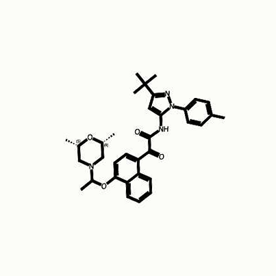 Cc1ccc(-n2nc(C(C)(C)C)cc2NC(=O)C(=O)c2ccc(OC(C)N3C[C@@H](C)O[C@@H](C)C3)c3ccccc23)cc1